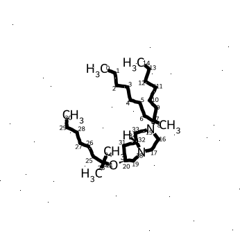 CCCCCCCC(C)(CCCCCC)N1CCN2C[C@H](OC(C)(C)CCCCCC)C[C@@H]2C1